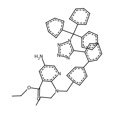 CCCN(Cc1ccc(-c2ccccc2-c2nnnn2C(c2ccccc2)(c2ccccc2)c2ccccc2)cc1)c1ncc(N)cc1C(=O)OCC